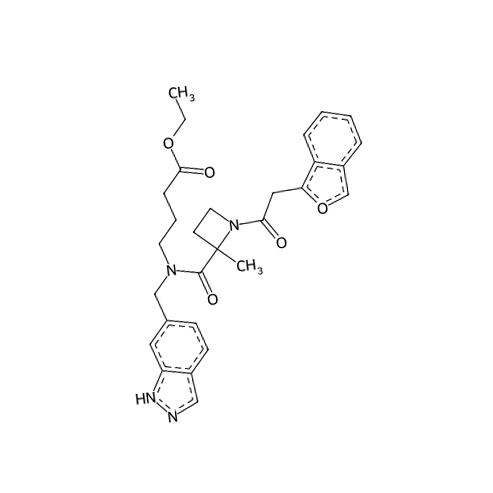 CCOC(=O)CCCN(Cc1ccc2cn[nH]c2c1)C(=O)C1(C)CCN1C(=O)Cc1occ2ccccc12